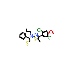 CCCN(c1nc(-c2cc(Cl)c(OC)cc2Cl)c(C)s1)C(CSC)c1ccccc1